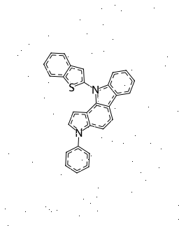 c1ccc(-n2ccc3c2ccc2c4ccccc4n(-c4cc5ccccc5s4)c23)cc1